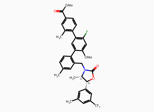 COC(=O)c1ccc(-c2cc(-c3ccc(C)cc3CN3C(=O)O[C@H](c4cc(C)cc(C(F)(F)F)c4)[C@@H]3C)c(OC)cc2F)c(C)c1